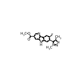 COC(=O)c1cnc2c(c1)[nH]c1cc(-c3c(C)nnn3C)c(F)cc12